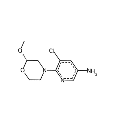 CO[C@@H]1CN(c2ncc(N)cc2Cl)CCO1